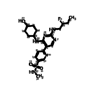 CC[C@H](F)CNc1ncc(-c2ccc(S(=O)(=O)NC)cn2)c(NC2CCC(O)CC2)n1